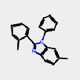 Cc1ccc2nc(-c3ccccc3C)n(-c3ccccc3)c2c1